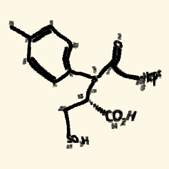 CCCCCCCC(=O)N(c1ccc(C)cc1)[C@@H](CS(=O)(=O)O)C(=O)O